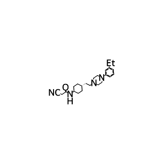 CCc1cccc(N2CCN(CC[C@H]3CC[C@H](NC(=O)CC#N)CC3)CC2)c1